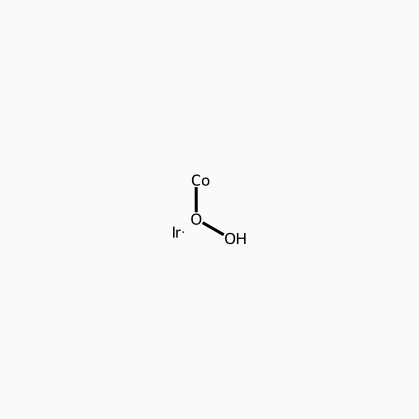 O[O][Co].[Ir]